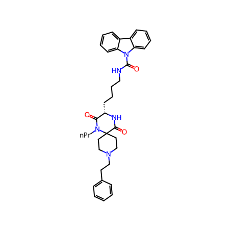 CCCN1C(=O)[C@H](CCCCNC(=O)n2c3ccccc3c3ccccc32)NC(=O)C12CCN(CCc1ccccc1)CC2